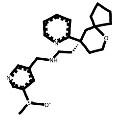 C[S+]([O-])c1cncc(CNCC[C@@]2(c3ccccn3)CCOC3(CCCC3)C2)c1